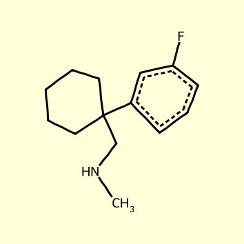 CNCC1(c2cccc(F)c2)CCCCC1